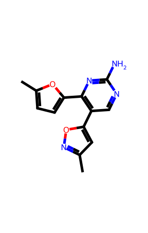 Cc1cc(-c2cnc(N)nc2-c2ccc(C)o2)on1